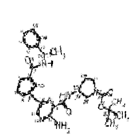 C[C@H](NC(=O)c1cccc(-c2cnc(N)c(C(=O)N[C@H]3CCN(C(=O)OC(C)(C)C)C3)n2)c1)c1ccccc1